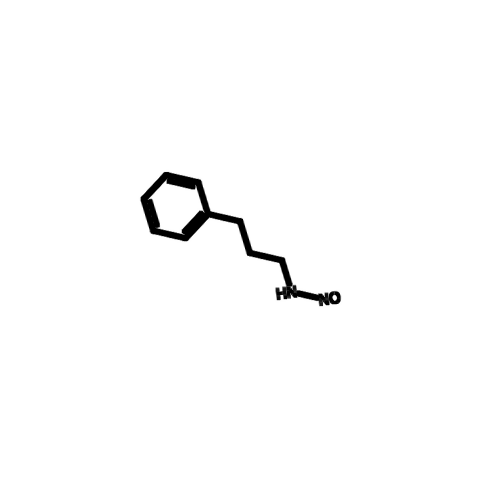 O=NNCCCc1ccccc1